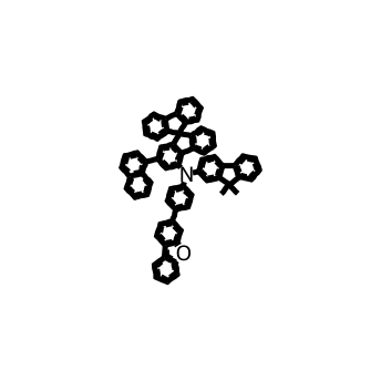 CC1(C)c2ccccc2-c2ccc(N(c3ccc(-c4ccc5c(c4)oc4ccccc45)cc3)c3cc(-c4cccc5ccccc45)cc4c3-c3ccccc3C43c4ccccc4-c4ccccc43)cc21